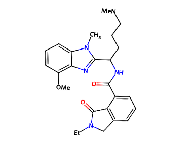 CCN1Cc2cccc(C(=O)NC(CCCNC)c3nc4c(OC)cccc4n3C)c2C1=O